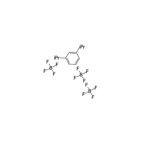 CC(C)c1cccc(C(C)C)c1.F[B-](F)(F)F.F[B-](F)(F)F.F[B-](F)(F)F